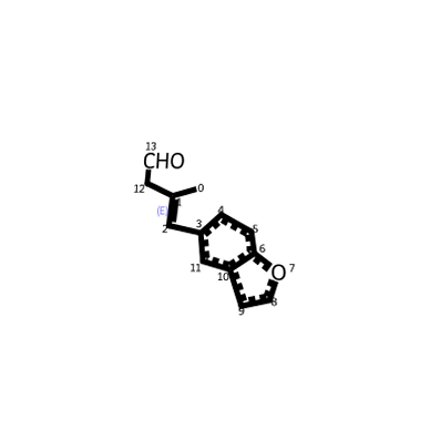 C/C(=C\c1ccc2occc2c1)CC=O